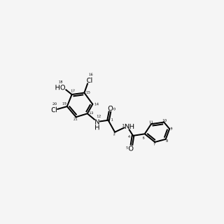 O=C(CNC(=O)c1ccccc1)Nc1cc(Cl)c(O)c(Cl)c1